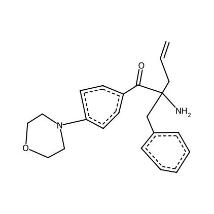 C=CCC(N)(Cc1ccccc1)C(=O)c1ccc(N2CCOCC2)cc1